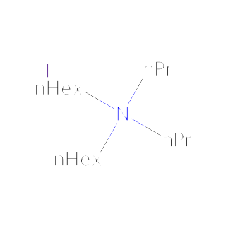 CCCCCC[N+](CCC)(CCC)CCCCCC.[I-]